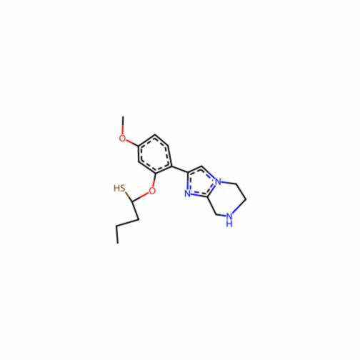 CCCC(S)Oc1cc(OC)ccc1-c1cn2c(n1)CNCC2